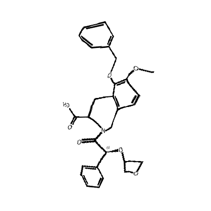 COc1ccc2c(c1OCc1ccccc1)CC(C(=O)O)N(C(=O)[C@@H](OC1COC1)c1ccccc1)C2